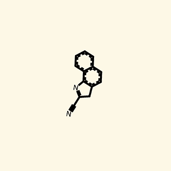 N#CC1=Nc2c(ccc3ccccc23)C1